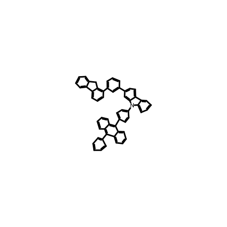 c1ccc(-c2c3ccccc3c(-c3ccc(-n4c5ccccc5c5ccc(-c6cccc(-c7cccc8c7Cc7ccccc7-8)c6)cc54)cc3)c3ccccc23)cc1